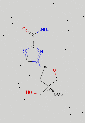 CO[C@]1(CO)CO[C@@H](n2cnc(C(N)=O)n2)C1